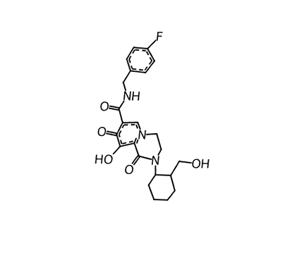 O=C(NCc1ccc(F)cc1)c1cn2c(c(O)c1=O)C(=O)N(C1CCCCC1CO)CC2